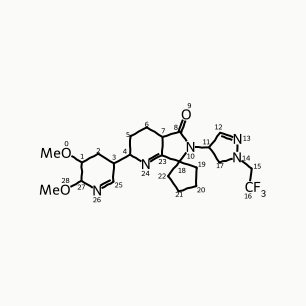 COC1CC(C2CCC3C(=O)N(C4C=NN(CC(F)(F)F)C4)C4(CCCC4)C3=N2)C=NC1OC